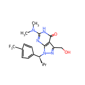 CC(C)[C@@H](c1ccc(C(F)(F)F)cc1)n1nc(CO)c2c(=O)[nH]c(N(C)C)nc21